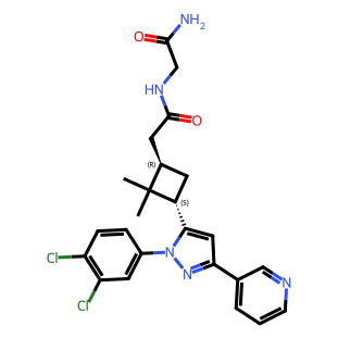 CC1(C)[C@@H](CC(=O)NCC(N)=O)C[C@@H]1c1cc(-c2cccnc2)nn1-c1ccc(Cl)c(Cl)c1